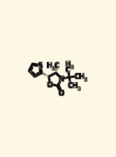 C[C@H]1[C@@H](c2cccs2)OC(=O)N1C(C)(C)C